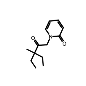 CCC(C)(CC)C(=O)Cn1ccccc1=O